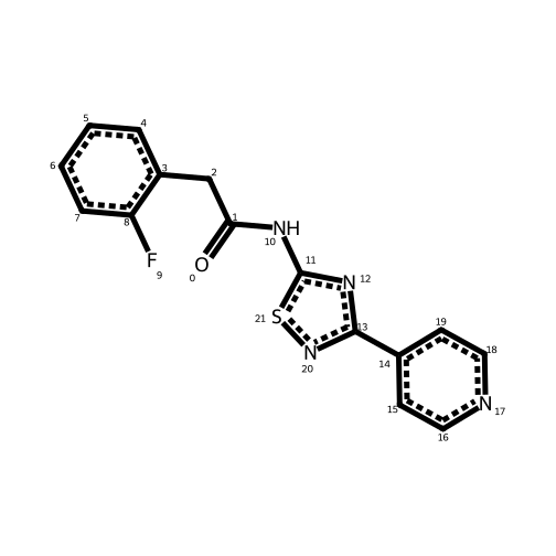 O=C(Cc1ccccc1F)Nc1nc(-c2ccncc2)ns1